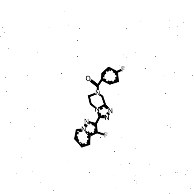 O=C(c1ccc(F)cc1)N1CCn2c(nnc2-c2nn3ccccc3c2F)C1